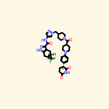 C[C@@]12Cc3[nH]nc(C(=O)Nc4cnn(CC5CCN(C(=O)C6CCN(c7ccc([C@H]8CCC(=O)NC8=O)cc7)CC6)CC5)c4)c3C[C@@H]1C2(F)F